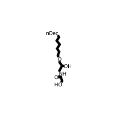 CCCCCCCCCCCCCCCCOCC(O)CNC(=O)CO